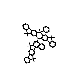 CC1(C)c2ccccc2-c2cc3c(cc21)-c1c(cc(N2c4cc5c(cc4C(C)(c4ccccc4)c4cc6c(cc42)-c2ccccc2C6(C)C)-c2ccccc2C5(C)C)c2ccccc12)C3(C)C